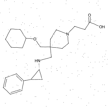 O=C(O)CCN1CCC(CN[C@@H]2CC2c2ccccc2)(COC2CCCCC2)CC1